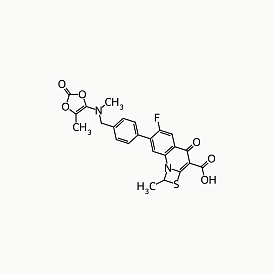 Cc1oc(=O)oc1N(C)Cc1ccc(-c2cc3c(cc2F)c(=O)c(C(=O)O)c2n3C(C)S2)cc1